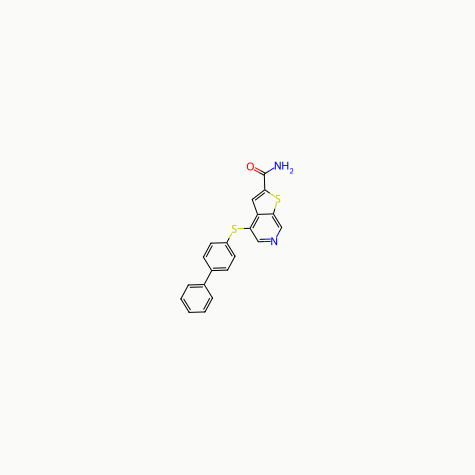 NC(=O)c1cc2c(Sc3ccc(-c4ccccc4)cc3)cncc2s1